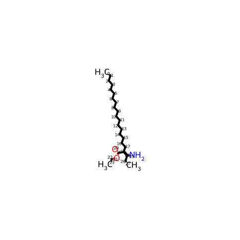 CCCCCCCCCCCCCCCCCCC(C(=O)OCC)=C(N)CC